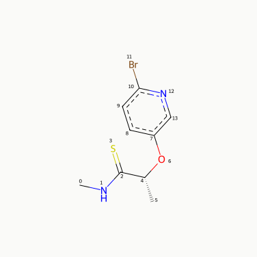 CNC(=S)[C@@H](C)Oc1ccc(Br)nc1